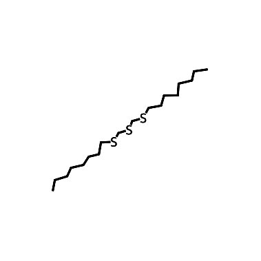 CCCCCCCCSCSCSCCCCCCCC